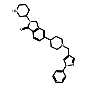 O=C1c2ccc(C3CCN(Cc4cnn(-c5ccccc5)c4)CC3)cc2CN1C1CCCNC1